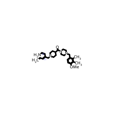 C=C/C=C(\C=C/N)CN1CCC(C(=O)N2CCN(Cc3ccc(OC)c(C)c3C)CC2)CC1